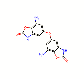 Nc1cc(Oc2cc(N)c3oc(=O)[nH]c3c2)cc2[nH]c(=O)oc12